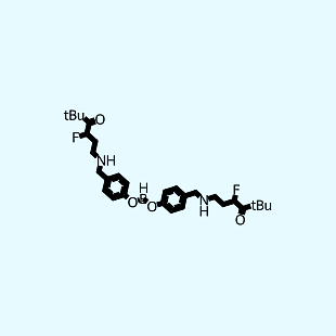 CC(C)(C)C(=O)C(F)CCNCc1ccc(OBOc2ccc(CNCCC(F)C(=O)C(C)(C)C)cc2)cc1